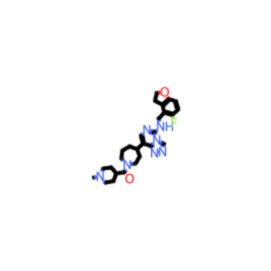 CN1CCC(C(=O)N2CCCC(c3cnc(NCc4c(F)ccc5c4CCO5)n4cnnc34)CC2)CC1